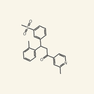 Cc1cc(C(=O)CC(c2cccc(S(C)(=O)=O)c2)c2ccccc2C)ccn1